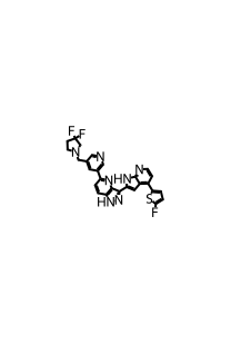 Fc1ccc(-c2ccnc3[nH]c(-c4n[nH]c5ccc(-c6cncc(CN7CCC(F)(F)C7)c6)nc45)cc23)s1